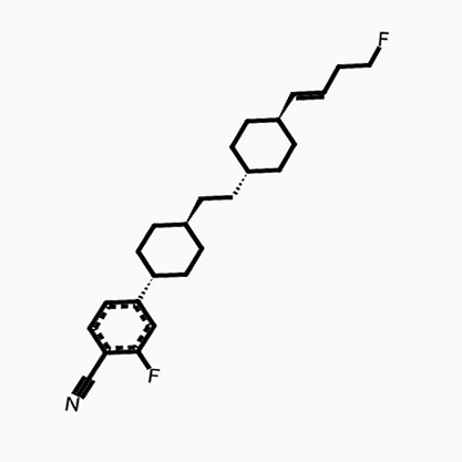 N#Cc1ccc([C@H]2CC[C@H](CC[C@H]3CC[C@H](/C=C/CCF)CC3)CC2)cc1F